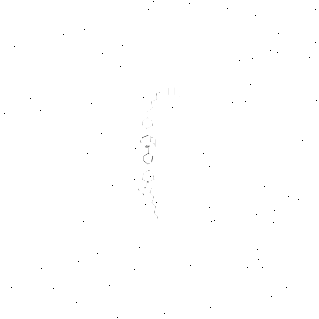 CCCCCCCC[C@]1(C#N)CC[C@H](c2ccc(-c3ncc([C@H]4CC[C@H](CCCCCC)CC4)cn3)cc2)CC1